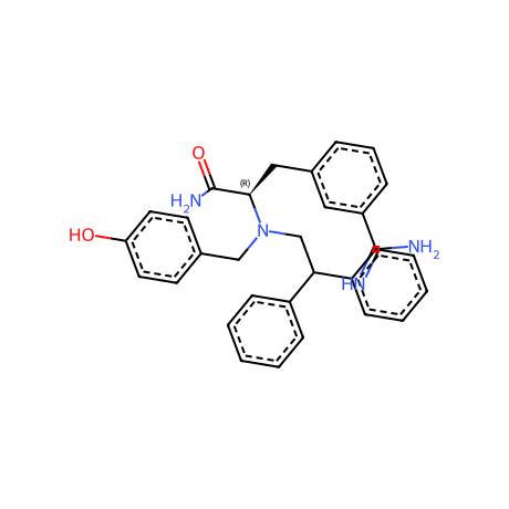 N=C(N)c1cccc(C[C@H](C(N)=O)N(Cc2ccc(O)cc2)CC(c2ccccc2)c2ccccc2)c1